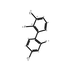 Fc1cc(Cl)ccc1-c1[c]ccc(Cl)c1F